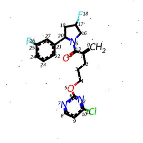 C=C(CCCOc1nccc(Cl)n1)C(=O)N1CC(F)CC1c1cccc(F)c1